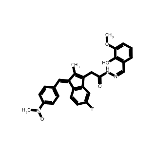 COc1cccc(/C=N\NC(=O)CC2=C(C)/C(=C/c3ccc([S+](C)[O-])cc3)c3ccc(F)cc32)c1O